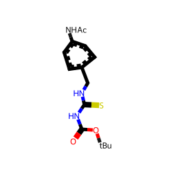 CC(=O)Nc1ccc(CNC(=S)NC(=O)OC(C)(C)C)cc1